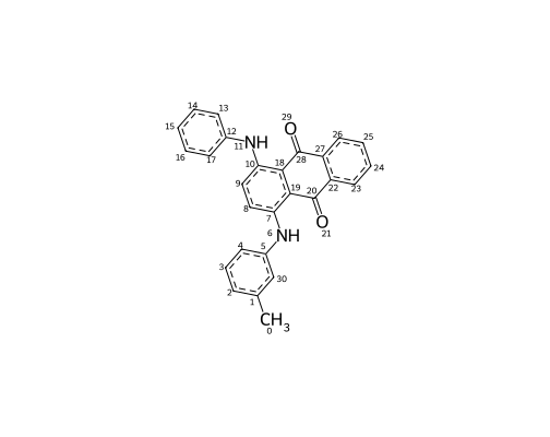 Cc1cccc(Nc2ccc(Nc3ccccc3)c3c2C(=O)c2ccccc2C3=O)c1